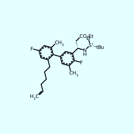 C=CCCCCc1cc(F)cc(C)c1-c1cc(C)c(F)c([C@H](CC(=O)OCC)N[S@+]([O-])C(C)(C)C)c1